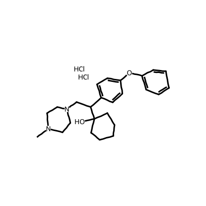 CN1CCN(CC(c2ccc(Oc3ccccc3)cc2)C2(O)CCCCC2)CC1.Cl.Cl